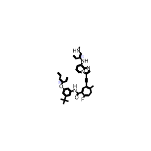 C=C/C=C(\C=C)Oc1cc(NC(=O)C2=CC(C#Cc3cnc4c(N/C(C=C)=C/NC)cccn34)=C(C)CC=C2F)cc(C(C)(C)C)c1